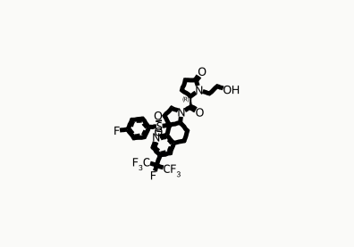 O=C([C@H]1CCC(=O)N1CCO)N1CCC2(S(=O)(=O)c3ccc(F)cc3)c3ncc(C(F)(C(F)(F)F)C(F)(F)F)cc3CCC12